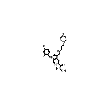 CN1CCN(CCCNCc2cn(Cc3ccc(F)cc3F)c3cnc(C(=O)NO)cc23)CC1